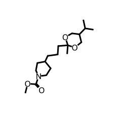 COC(=O)N1CCC(CCCC2(C)OCC(C(C)C)CO2)CC1